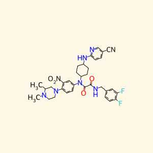 CC1CN(c2ccc(N(C(=O)C(=O)NCc3ccc(F)c(F)c3)C3CCC(Nc4ccc(C#N)cn4)CC3)cc2[N+](=O)[O-])CCN1C